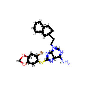 Nc1ncn(CCc2ccc3ccccc3c2)c2nc(Sc3cc4c(cc3Br)OCO4)nc1-2